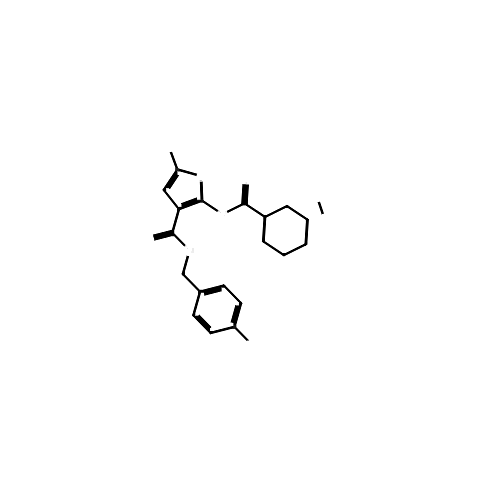 CCc1cc(C(=O)NCc2ccc(F)cc2)c(NC(=O)C2CCCCC2)s1.O=C(O)O